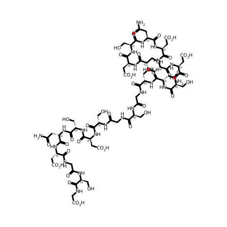 NC(=O)C[C@H](NC(=O)[C@H](CO)NC(=O)[C@H](CC(=O)O)NC(=O)[C@H](CO)NC(=O)CNC(=O)[C@H](CO)NC(=O)CNC(=O)[C@H](CC(=O)O)NC(=O)[C@H](CC(N)=O)NC(=O)[C@H](CO)NC(=O)[C@H](CC(=O)O)NC(=O)[C@H](CO)NC(=O)[C@H](CC(=O)O)NC(=O)[C@H](CC(N)=O)NC(=O)[C@H](CO)NC(=O)[C@H](CC(=O)O)NC(=O)[C@@H](N)CO)C(=O)N[C@@H](CC(=O)O)C(=O)NCC(=O)N[C@@H](CO)C(=O)NCC(=O)O